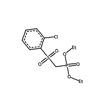 CCOP(=O)(CS(=O)(=O)c1ccccc1Cl)OCC